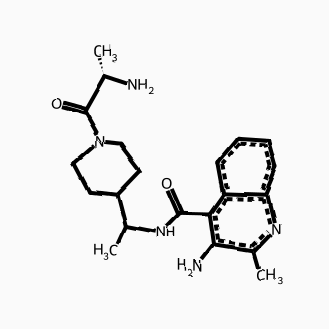 Cc1nc2ccccc2c(C(=O)NC(C)C2CCN(C(=O)[C@H](C)N)CC2)c1N